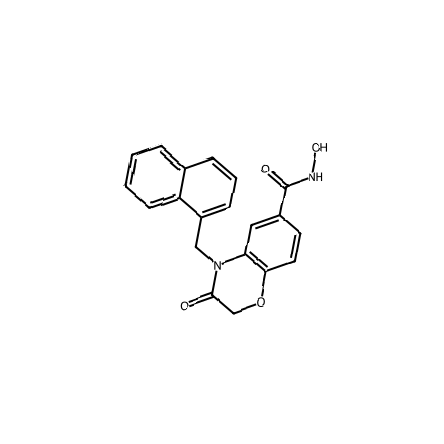 O=C(NO)c1ccc2c(c1)N(Cc1cccc3ccccc13)C(=O)CO2